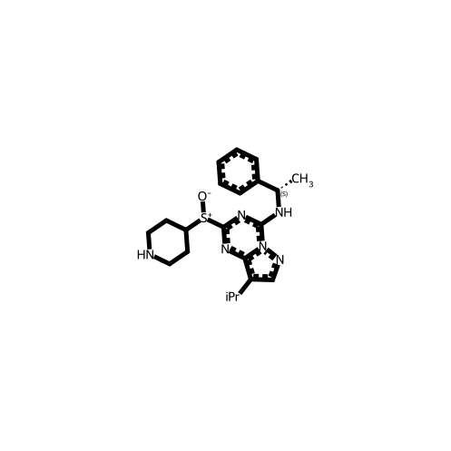 CC(C)c1cnn2c(N[C@@H](C)c3ccccc3)nc([S+]([O-])C3CCNCC3)nc12